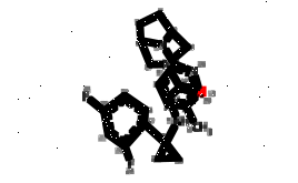 Cc1ccc(N2C3CCC2CN(C(=O)CNC2(c4ccc(F)cc4F)CC2)C3)nn1